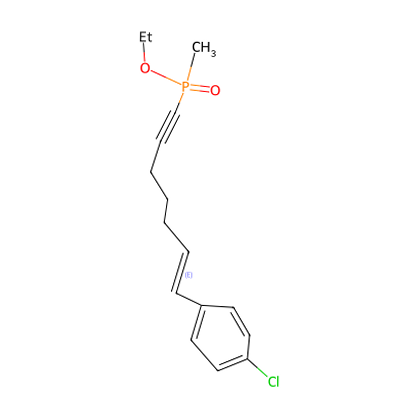 CCOP(C)(=O)C#CCCC/C=C/c1ccc(Cl)cc1